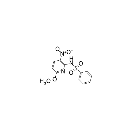 COc1ccc([N+](=O)[O-])c(NS(=O)(=O)c2ccccc2)n1